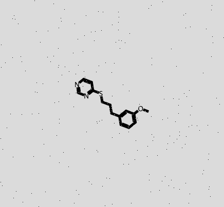 COc1cccc(CCCSc2ccn[c]n2)c1